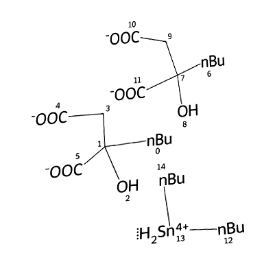 CCCCC(O)(CC(=O)[O-])C(=O)[O-].CCCCC(O)(CC(=O)[O-])C(=O)[O-].CCC[CH2][SnH2+4][CH2]CCC